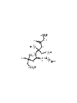 O=C(O)CC(O)(CC(=O)OC(CC(=O)O)(CC(=O)OS(=O)(=O)O)C(=O)O)C(=O)O.[NaH].[NaH].[NaH]